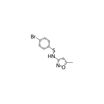 Cc1cc(NSc2ccc(Br)cc2)no1